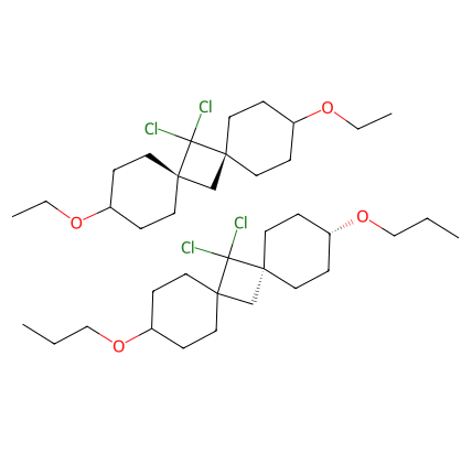 CCCOC1CCC2(CC1)C[C@]1(CC[C@@H](OCCC)CC1)C2(Cl)Cl.CCOC1CC[C@]2(CC1)C[C@@]1(CCC(OCC)CC1)C2(Cl)Cl